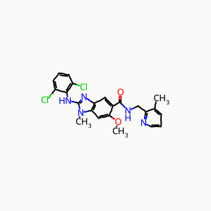 COc1cc2c(cc1C(=O)NCc1ncccc1C)nc(Nc1c(Cl)cccc1Cl)n2C